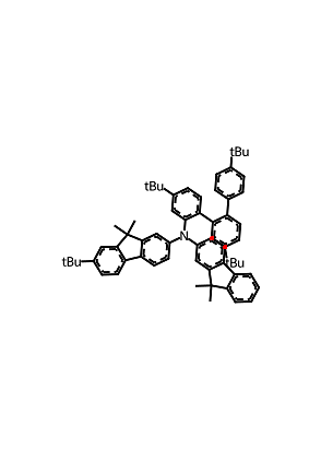 CC(C)(C)c1ccc(-c2ccc(C(C)(C)C)cc2-c2ccc(C(C)(C)C)cc2N(c2ccc3c(c2)C(C)(C)c2ccccc2-3)c2ccc3c(c2)C(C)(C)c2cc(C(C)(C)C)ccc2-3)cc1